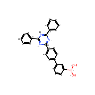 OB(O)c1cccc(-c2ccc(-c3nc(-c4ccccc4)nc(-c4ccccc4)n3)cc2)c1